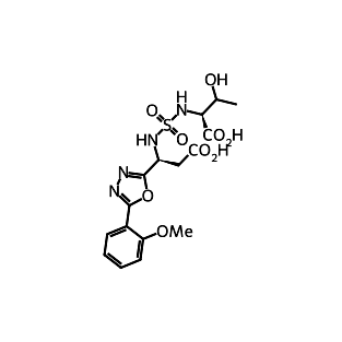 COc1ccccc1-c1nnc([C@H](CC(=O)O)NS(=O)(=O)N[C@H](C(=O)O)C(C)O)o1